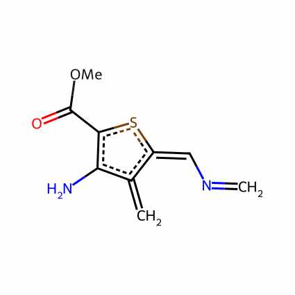 C=N/C=c1/sc(C(=O)OC)c(N)c1=C